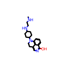 CNCCNC1CCC(N2CCc3cnc(O)c4cccc2c34)CC1